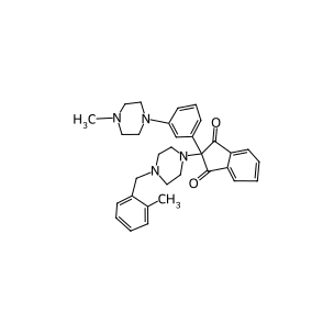 Cc1ccccc1CN1CCN(C2(c3cccc(N4CCN(C)CC4)c3)C(=O)c3ccccc3C2=O)CC1